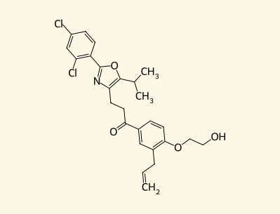 C=CCc1cc(C(=O)CCc2nc(-c3ccc(Cl)cc3Cl)oc2C(C)C)ccc1OCCO